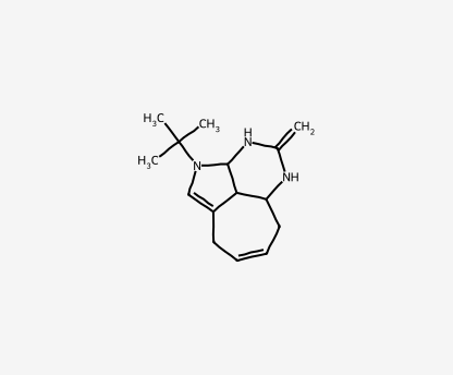 C=C1NC2CC=CCC3=CN(C(C)(C)C)C(N1)C32